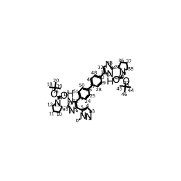 Cn1nccc1-c1nc([C@@H]2CCCN2C(=O)OC(C)(C)C)[nH]c1-c1ccc(-c2ccc(-c3cnc([C@@H]4CCCN4C(=O)OC(C)(C)C)[nH]3)cc2)cc1